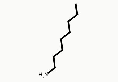 C[CH]CCCCCCN